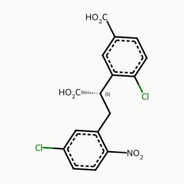 O=C(O)c1ccc(Cl)c([C@H](Cc2cc(Cl)ccc2[N+](=O)[O-])C(=O)O)c1